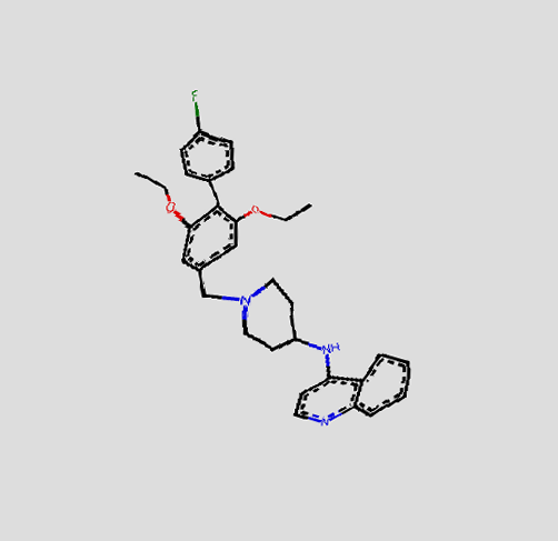 CCOc1cc(CN2CCC(Nc3ccnc4ccccc34)CC2)cc(OCC)c1-c1ccc(F)cc1